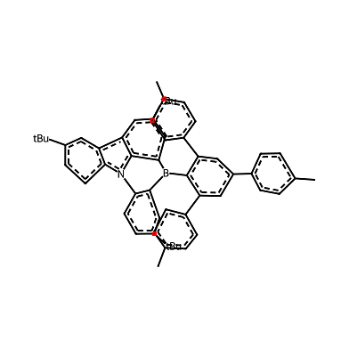 Cc1ccc(-c2cc(-c3ccc(C)cc3)c(B3c4cc(C(C)(C)C)ccc4-n4c5ccc(C(C)(C)C)cc5c5cc(C(C)(C)C)cc3c54)c(-c3ccc(C)cc3)c2)cc1